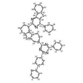 c1ccc(-c2ccc(-c3nc(-c4ccccc4)nc(-c4ccc5c(c4)sc4cccc(-c6nc(-c7ccccc7)c7sc8ccccc8c7n6)c45)n3)cc2)cc1